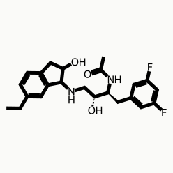 CCc1ccc2c(c1)C(NC[C@@H](O)[C@H](Cc1cc(F)cc(F)c1)NC(C)=O)C(O)C2